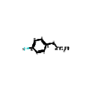 CCOC(=O)[CH]c1ccc(F)cc1